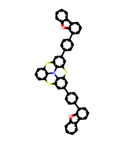 c1cc2c3c(c1)Sc1cc(-c4ccc(-c5cccc6c5oc5ccccc56)cc4)cc4c1N3c1c(cc(-c3ccc(-c5cccc6c5oc5ccccc56)cc3)cc1S4)S2